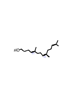 CC(C)=CCC/C(C)=C\CC/C(C)=C/CCCO